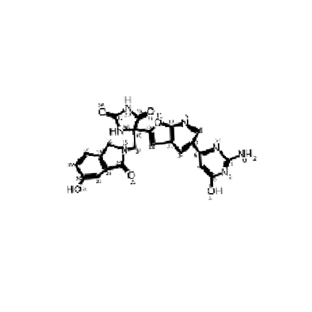 Nc1nc(O)cc(-c2cnc3oc([C@]4(CN5Cc6ccc(O)cc6C5=O)NC(=O)NC4=O)cc3c2)n1